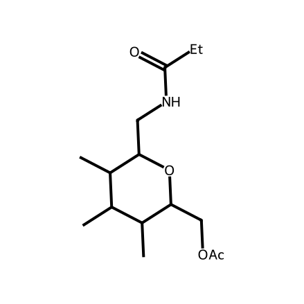 CCC(=O)NCC1OC(COC(C)=O)C(C)C(C)C1C